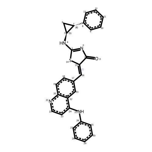 O=C1N=C(N[C@H]2C[C@@H]2c2ccccc2)S/C1=C\c1ccc2nccc(Nc3ccccc3)c2c1